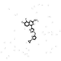 Nc1nc(-c2cn(Cc3ccn(C4CC4)n3)nn2)c2ccc(F)c(F)c2n1